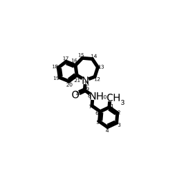 Cc1ccccc1CNC(=O)N1CCCCc2ccccc21